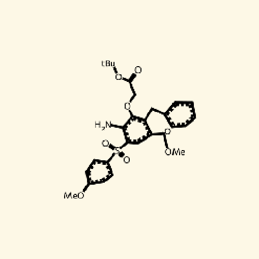 COC(=O)c1cc(S(=O)(=O)c2ccc(OC)cc2)c(N)c(OCC(=O)OC(C)(C)C)c1Cc1ccccc1